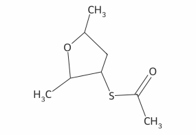 CC(=O)SC1CC(C)OC1C